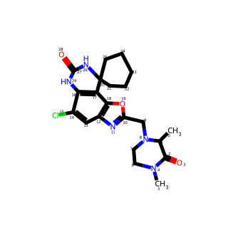 CC1C(=O)N(C)CCN1Cc1nc2cc(Cl)c3c(c2o1)C1(CCCCC1)NC(=O)N3